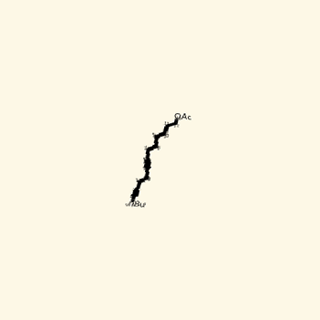 CCCCC#CCCC#CCCCCCCOC(C)=O